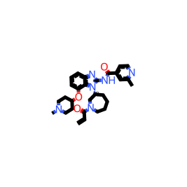 C=CC(=O)N1CCCC[C@@H](n2c(NC(=O)c3ccnc(C)c3)nc3cccc(OC4CCN(C)CC4)c32)C1